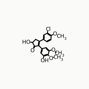 COc1ccc(C2=C(c3cc(O)c(OC)c(OC)c3)C(=O)C(O)C2)cc1Cl